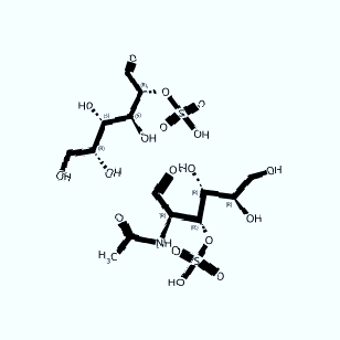 CC(=O)N[C@@H](C=O)[C@@H](OS(=O)(=O)O)[C@H](O)[C@H](O)CO.O=C[C@H](OS(=O)(=O)O)[C@@H](O)[C@@H](O)[C@H](O)CO